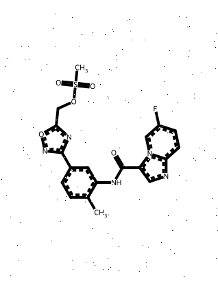 Cc1ccc(-c2noc(COS(C)(=O)=O)n2)cc1NC(=O)c1cnc2ccc(F)cn12